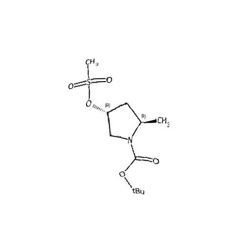 C[C@@H]1C[C@@H](OS(C)(=O)=O)CN1C(=O)OC(C)(C)C